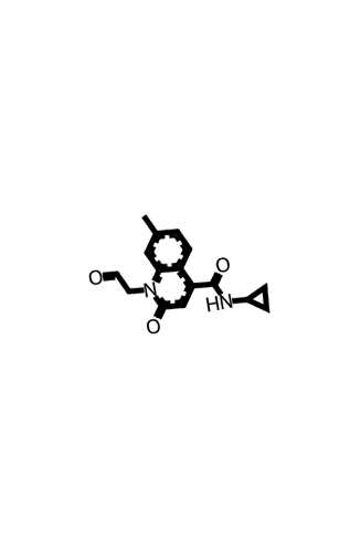 Cc1ccc2c(C(=O)NC3CC3)cc(=O)n(CC=O)c2c1